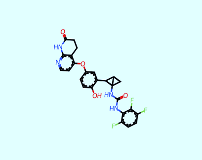 O=C1CCc2c(Oc3ccc(O)c(C4C5CC54NC(=O)Nc4c(F)ccc(F)c4F)c3)ccnc2N1